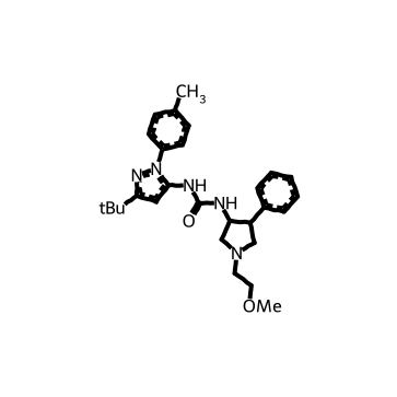 COCCN1CC(NC(=O)Nc2cc(C(C)(C)C)nn2-c2ccc(C)cc2)C(c2ccccc2)C1